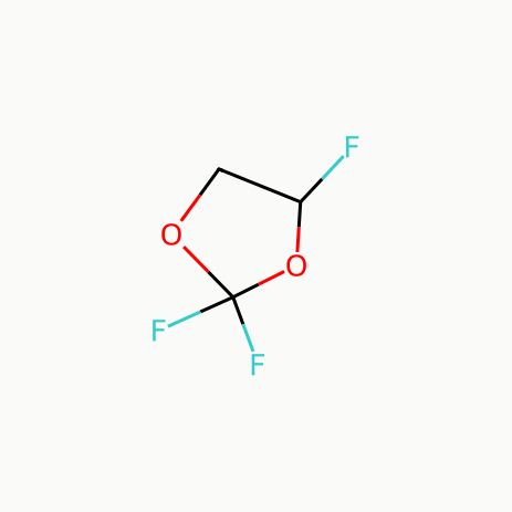 FC1COC(F)(F)O1